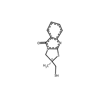 C[C@]1(CS)Cn2c(nc3ccccc3c2=O)S1